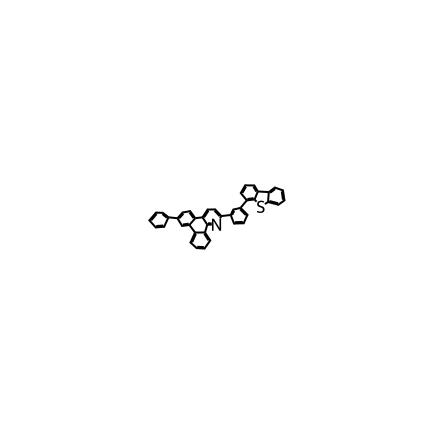 c1ccc(-c2ccc3c(c2)c2ccccc2c2nc(-c4cccc(-c5cccc6c5sc5ccccc56)c4)ccc32)cc1